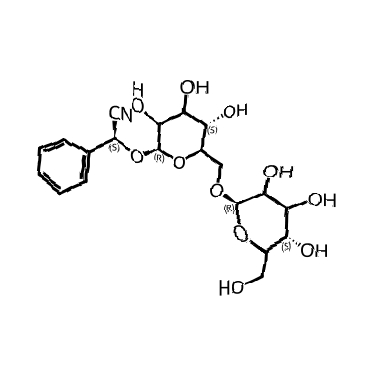 N#C[C@@H](O[C@@H]1OC(CO[C@@H]2OC(CO)[C@@H](O)C(O)C2O)[C@@H](O)C(O)C1O)c1ccccc1